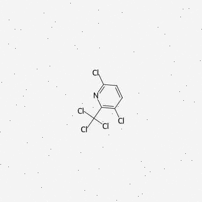 Clc1ccc(Cl)c(C(Cl)(Cl)Cl)n1